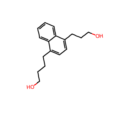 OCCCCc1ccc(CCCO)c2ccccc12